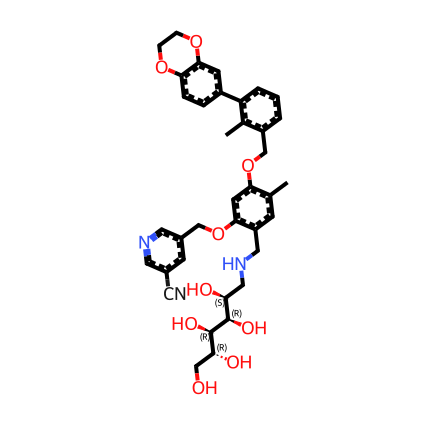 Cc1cc(CNC[C@H](O)[C@@H](O)[C@H](O)[C@H](O)CO)c(OCc2cncc(C#N)c2)cc1OCc1cccc(-c2ccc3c(c2)OCCO3)c1C